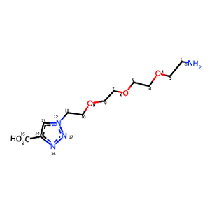 NCCOCCOCCOCCn1cc(C(=O)O)nn1